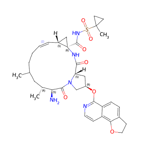 CC1CC/C=C\[C@@H]2C[C@@]2(C(=O)NS(=O)(=O)C2(C)CC2)NC(=O)[C@@H]2C[C@@H](Oc3nccc4c5c(ccc34)CCO5)CN2C(=O)[C@@H](N)[C@H](C)C1